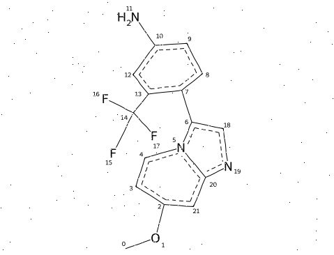 COc1ccn2c(-c3ccc(N)cc3C(F)(F)F)cnc2c1